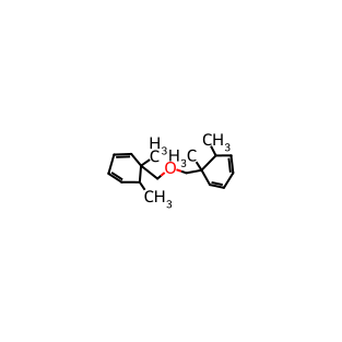 CC1C=CC=CC1(C)COCC1(C)C=CC=CC1C